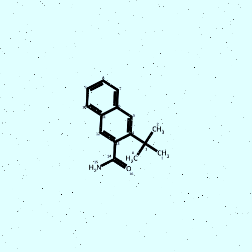 CC(C)(C)c1cc2ccccc2cc1C(N)=O